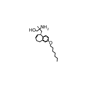 CCCCCCCOc1ccc2c(c1)CCC=C[C@H]2C[C@@](C)(N)CO